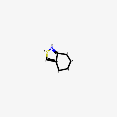 c1snc2c1CCCC2